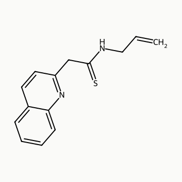 C=CCNC(=S)Cc1ccc2ccccc2n1